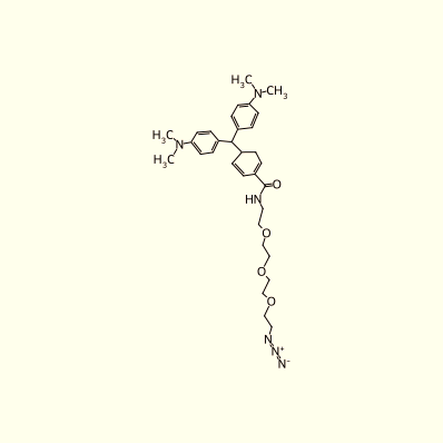 CN(C)c1ccc(C(c2ccc(N(C)C)cc2)C2C=CC(C(=O)NCCOCCOCCOCCN=[N+]=[N-])=CC2)cc1